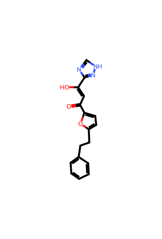 O=C(C=C(O)c1nc[nH]n1)c1ccc(CCc2ccccc2)o1